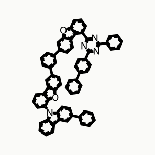 c1ccc(-c2ccc(-c3nc(-c4ccccc4)nc(-c4cccc5oc6cc(-c7cccc(-c8ccc9oc%10c(-n%11c%12ccccc%12c%12cc(-c%13ccccc%13)ccc%12%11)cccc%10c9c8)c7)ccc6c45)n3)cc2)cc1